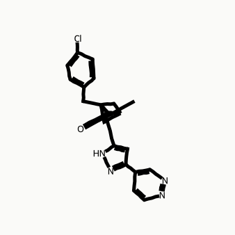 O=C1N(c2cc(-c3ccnnc3)n[nH]2)C2CC1(Cc1ccc(Cl)cc1)C2